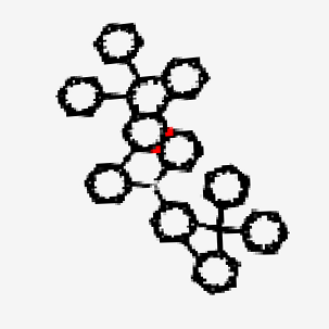 c1ccc(-c2c(-c3ccccc3)c3cc(-c4ccccc4N(c4ccccc4)c4ccc5c(c4)C(c4ccccc4)(c4ccccc4)c4ccccc4-5)ccc3c3ccccc23)cc1